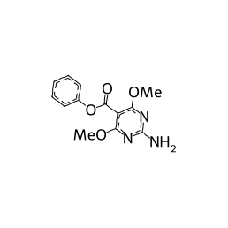 COc1nc(N)nc(OC)c1C(=O)Oc1ccccc1